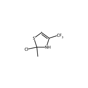 CC1(Cl)NC(C(F)(F)F)=[C]S1